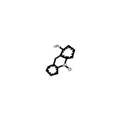 CCCc1cccc2c1Cc1ccccc1[S+]2[O-]